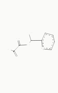 C=C(C)C(=O)OC(C)c1ccccn1